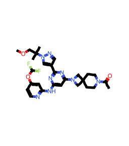 COCC(C)(C)n1cc(-c2nc(Nc3cc(OC(F)F)ccn3)cc(N3CC4(CCN(C(C)=O)CC4)C3)n2)cn1